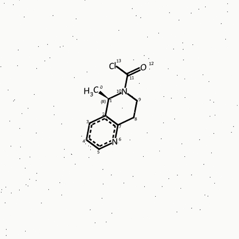 C[C@@H]1c2cccnc2CCN1C(=O)Cl